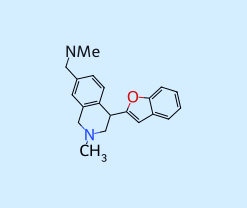 CNCc1ccc2c(c1)CN(C)CC2c1cc2ccccc2o1